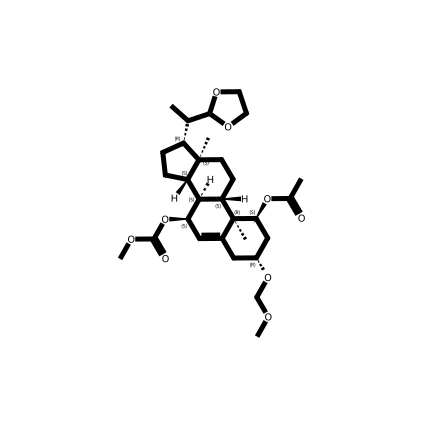 COCO[C@@H]1CC2=C[C@@H](OC(=O)OC)[C@H]3[C@@H]4CC[C@H](C(C)C5OCCO5)[C@@]4(C)CC[C@@H]3[C@@]2(C)[C@@H](OC(C)=O)C1